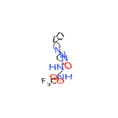 O=C(NCCNS(=O)(=O)C(F)(F)F)c1ccc(N2CCC3(C=Cc4ccccc43)CC2)nn1